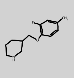 Cc1ccc(OCC2CCCNC2)c(F)c1